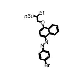 CCCCC(CC)COc1ccc(N=Nc2ccc(Br)cc2)c2ccccc12